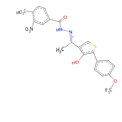 C/C(=N\NC(=O)c1ccc(C(=O)O)c([N+](=O)[O-])c1)c1csc(-c2ccc(OC(F)(F)F)cc2)c1O